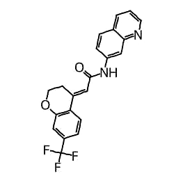 O=C(/C=C1\CCOc2cc(C(F)(F)F)ccc21)Nc1ccc2cccnc2c1